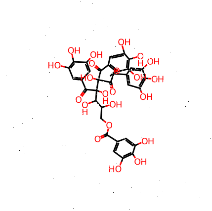 O=C(OCC(O)C(O)C(O)(C(=O)c1cc(O)c(O)c(O)c1)C(O)(C(=O)C(=O)c1cc(O)c(O)c(O)c1)C(=O)c1cc(O)c(O)c(O)c1)c1cc(O)c(O)c(O)c1